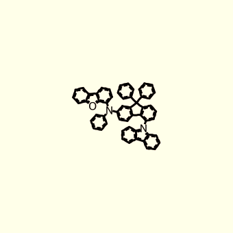 c1ccc(N(c2ccc3c(c2)C(c2ccccc2)(c2ccccc2)c2cccc(-n4c5ccccc5c5ccccc54)c2-3)c2cccc3c2oc2ccccc23)cc1